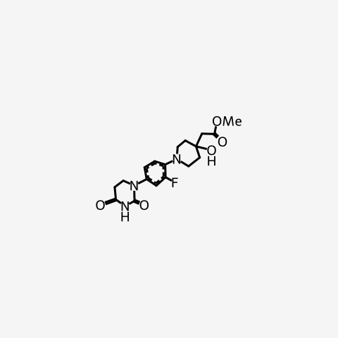 COC(=O)CC1(O)CCN(c2ccc(N3CCC(=O)NC3=O)cc2F)CC1